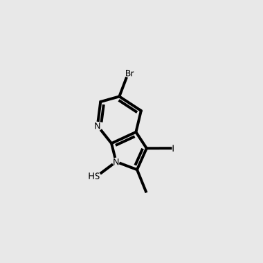 Cc1c(I)c2cc(Br)cnc2n1S